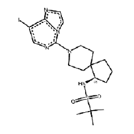 CC(C)(C)S(=O)(=O)N[C@@H]1CCCC12CCN(c1ncc(I)c3nccn13)CC2